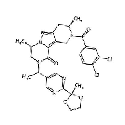 CC(c1cnc(C2(C)OCCO2)nc1)N1C[C@@H](C)n2nc3c(c2C1=O)CN(C(=O)c1ccc(Cl)c(Cl)c1)[C@H](C)C3